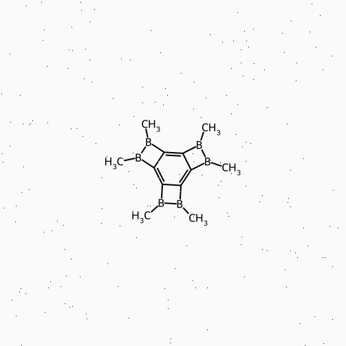 CB1B(C)c2c1c1c(c3c2B(C)B3C)B(C)B1C